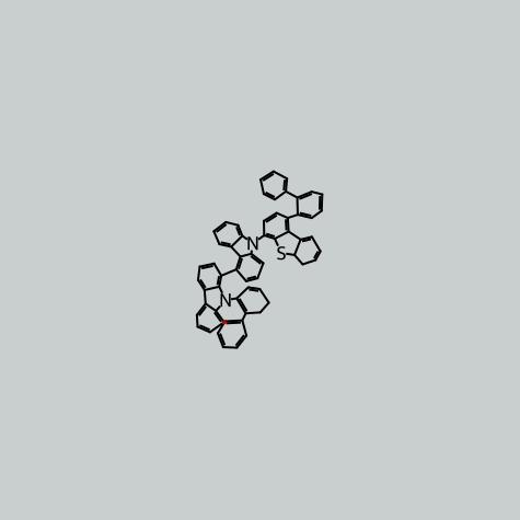 C1=CCC2Sc3c(-n4c5ccccc5c5c(-c6cccc7c8ccccc8n(C8=C(c9ccccc9)CCC=C8)c67)cccc54)ccc(-c4ccccc4-c4ccccc4)c3C2=C1